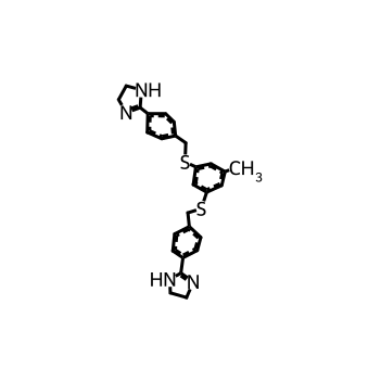 Cc1cc(SCc2ccc(C3=NCCN3)cc2)cc(SCc2ccc(C3=NCCN3)cc2)c1